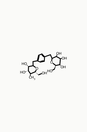 C[C@H]1[C@H](O)[C@H](O)C(Cc2ccc(CC3O[C@H](CO)[C@@H](O)[C@H](O)[C@@H]3O)cc2)O[C@@H]1CO